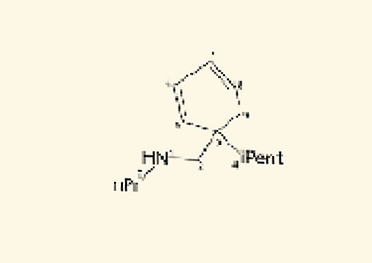 CCCNCC1(C(C)CCC)C=CC=[C]C1